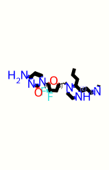 CCCC1/C(=C/C=N\C)NCCN1C[C@@H]1CC(F)(F)[C@H](n2ccc(N)nc2=O)O1